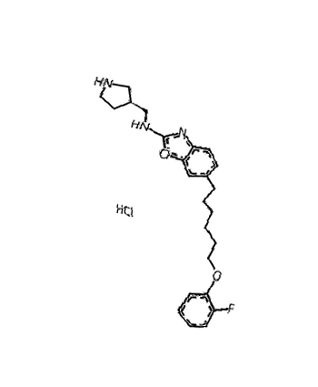 Cl.Fc1ccccc1OCCCCCCc1ccc2nc(NC[C@H]3CCNC3)oc2c1